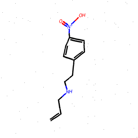 C=CCNCCc1ccc([N+](=O)O)cc1